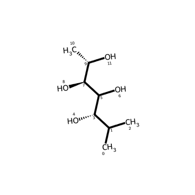 CC(C)[C@H](O)C(O)[C@@H](O)[C@H](C)O